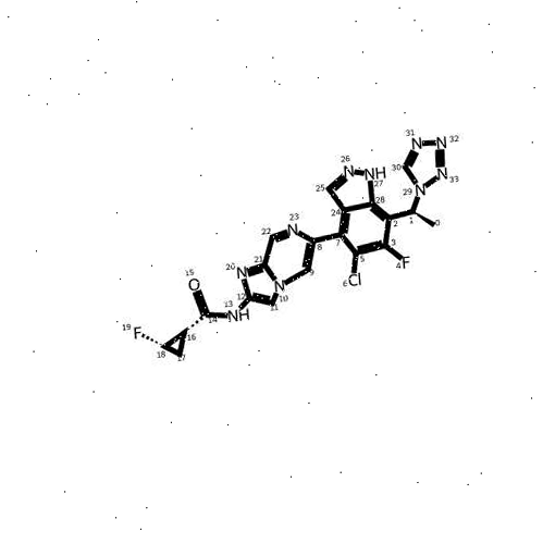 C[C@@H](c1c(F)c(Cl)c(-c2cn3cc(NC(=O)[C@@H]4C[C@@H]4F)nc3cn2)c2cn[nH]c12)n1cnnn1